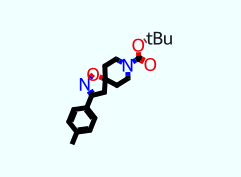 Cc1ccc(C2=NOC3(CCN(C(=O)OC(C)(C)C)CC3)C2)cc1